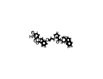 O=C1CCC(N2Cc3c(OCCCN4CCCC4C(=O)N4CCC5(CCc6ccccc65)CC4)cccc3C2=O)C(=O)N1